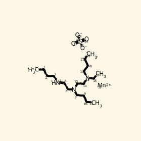 CCCCNCCN(CCCC)CCN(CC)CCCC.O=S(=O)([O-])[O-].[Mn+2]